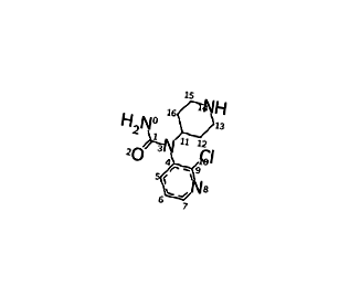 NC(=O)N(c1cccnc1Cl)C1CCNCC1